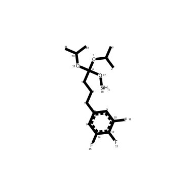 CC(C)OC(CCCc1cc(F)c(F)c(F)c1)(O[SiH3])OC(C)C